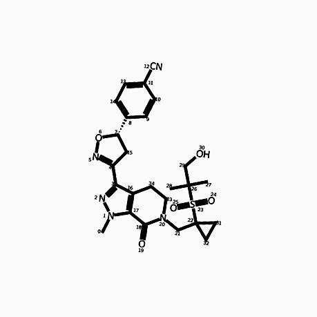 Cn1nc(C2=NO[C@H](c3ccc(C#N)cc3)C2)c2c1C(=O)N(CC1(S(=O)(=O)C(C)(C)CO)CC1)CC2